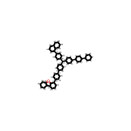 c1ccc(-c2ccc(-c3ccc(C(c4ccc(-c5ccc(-c6cccc7c6oc6ccccc67)cc5)cc4)c4ccc(-c5cccc6ccccc56)cc4)cc3)cc2)cc1